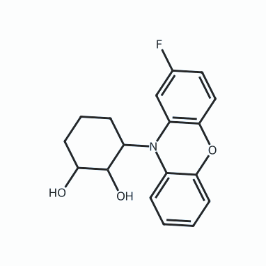 OC1CCCC(N2c3ccccc3Oc3ccc(F)cc32)C1O